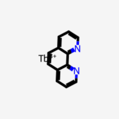 [Tb+3].c1cnc2c(c1)ccc1cccnc12